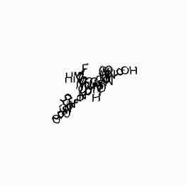 COc1ccc(S(=O)(=O)N2CCN(C3CC4(CCN(c5ccc(C(=O)NS(=O)(=O)c6cnc(NCC7CCC(C)(O)CC7)c([N+](=O)[O-])c6)c(Oc6cc7c(F)c[nH]c7nc6OC)c5)CC4)C3)[C@H](c3ccccc3C(C)C)C2)cc1